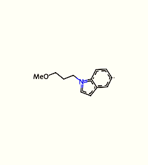 COCCCn1ccc2c[c]ccc21